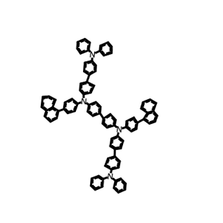 c1ccc(N(c2ccccc2)c2ccc(-c3ccc(N(c4ccc(-c5ccc(N(c6ccc(-c7ccc(N(c8ccccc8)c8ccccc8)cc7)cc6)c6ccc(-c7cccc8ccccc78)cc6)cc5)cc4)c4ccc(-c5cccc6ccccc56)cc4)cc3)cc2)cc1